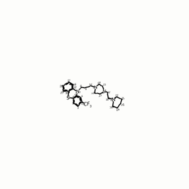 FC(F)(F)c1ccc2c(c1)N(CCCN1CCN(CCN3CCCCC3)CC1)c1ccccc1S2